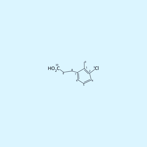 Cc1c(Cl)cccc1CCC(=O)O